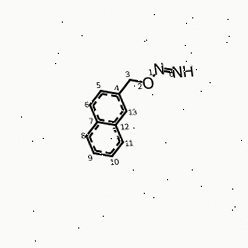 N=NOCc1ccc2ccccc2c1